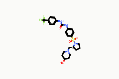 O=C(Nc1ccc(C(F)(F)F)cc1)Nc1ccc(S(=O)(=O)N2CCC[C@H]2CN2CCC(O)CC2)cc1